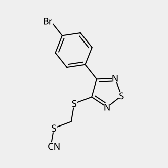 N#CSCSc1nsnc1-c1ccc(Br)cc1